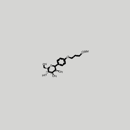 COCCCOc1ccc(C2O[C@H](CO)[C@@H](O)[C@H](O)[C@@H]2O)cc1